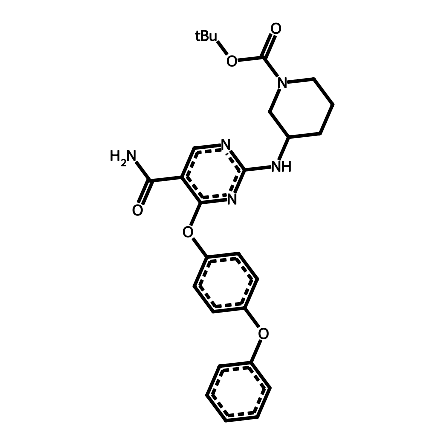 CC(C)(C)OC(=O)N1CCCC(Nc2ncc(C(N)=O)c(Oc3ccc(Oc4ccccc4)cc3)n2)C1